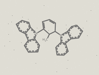 CC1C(n2c3ccccc3c3ccccc32)=CC=CC1n1c2ccccc2c2ccccc21